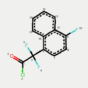 O=C(Cl)C(F)(F)c1ccc(F)c2ccccc12